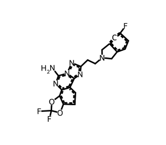 Nc1nc2c3c(ccc2c2nc(CCN4Cc5ccc(F)cc5C4)nn12)OC(F)(F)O3